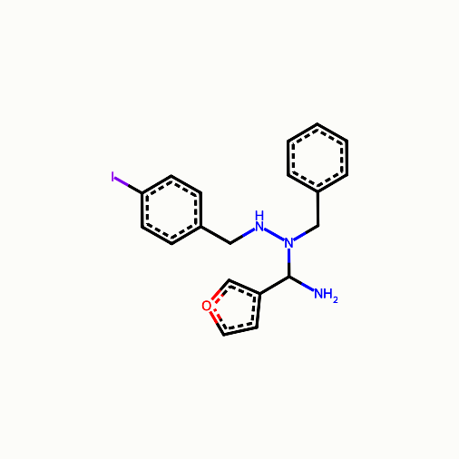 NC(c1ccoc1)N(Cc1ccccc1)NCc1ccc(I)cc1